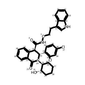 O=C(NOCCc1c[nH]c2ccccc12)[C@@H]1c2ccccc2C(=O)N([C@H]2CCCC[C@@H]2O)[C@H]1c1ccc(Cl)cc1Cl